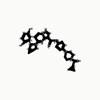 O=C(Nc1ccc(N2CCN(C(=O)C3CC3)CC2)cc1)c1cnn2ccc(N3CC4CC4[C@@H]3c3cc(F)ccc3F)nc12